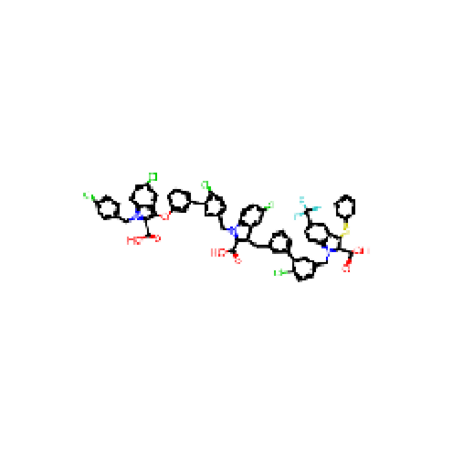 O=C(O)c1c(Cc2cccc(-c3cc(Cn4c(C(=O)O)c(Sc5ccccc5)c5cc(C(F)(F)F)ccc54)ccc3Cl)c2)c2cc(Cl)ccc2n1Cc1ccc(Cl)c(-c2cccc(Oc3c(C(=O)O)n(Cc4ccc(Cl)cc4)c4ccc(Cl)cc34)c2)c1